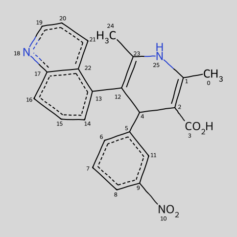 CC1=C(C(=O)O)C(c2cccc([N+](=O)[O-])c2)C(c2cccc3ncccc23)=C(C)N1